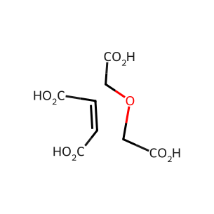 O=C(O)/C=C\C(=O)O.O=C(O)COCC(=O)O